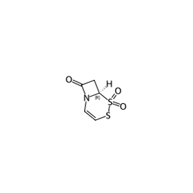 O=C1C[C@@H]2N1C=CSS2(=O)=O